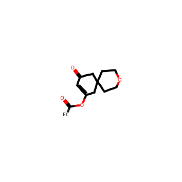 CCC(=O)OC1=CC(=O)CC2(CCOCC2)C1